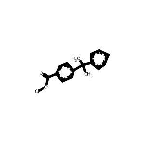 CC(C)(c1ccccc1)c1ccc(C(=O)OCl)cc1